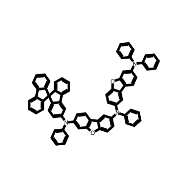 c1ccc(N(c2ccccc2)c2ccc3c(c2)oc2ccc(N(c4ccccc4)c4ccc5oc6cc(N(c7ccccc7)c7ccc8c(c7)-c7ccccc7C87c8ccccc8-c8ccccc87)ccc6c5c4)cc23)cc1